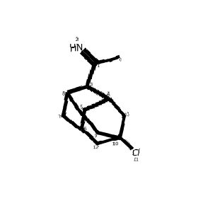 CC(=N)C1C2CC3CC1CC(Cl)(C3)C2